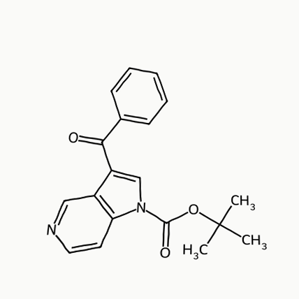 CC(C)(C)OC(=O)n1cc(C(=O)c2ccccc2)c2cnccc21